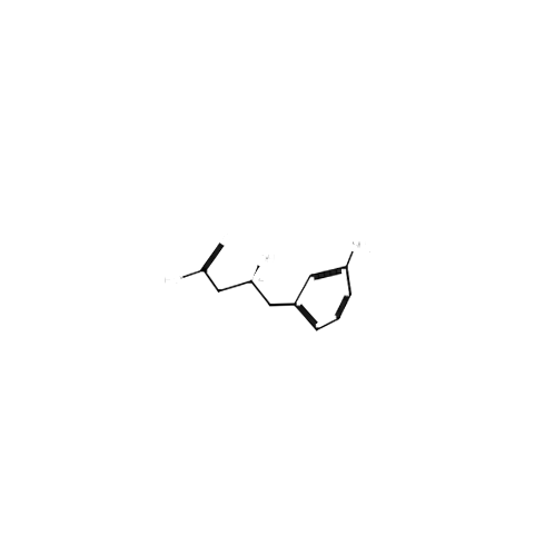 Nc1cccc(C[C@H](O)CC(=O)O)c1